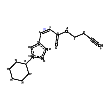 C#CCCOC(=O)/C=C\c1cn(C2CCCCC2)nn1